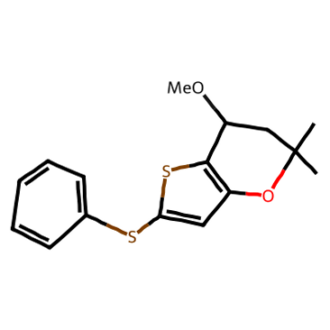 COC1CC(C)(C)Oc2cc(Sc3ccccc3)sc21